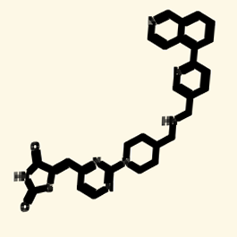 O=C1NC(=O)/C(=C/c2ccnc(N3CCC(CNCc4ccc(-c5cccc6cnccc56)nc4)CC3)n2)S1